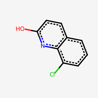 Oc1ccc2cccc(Cl)c2n1